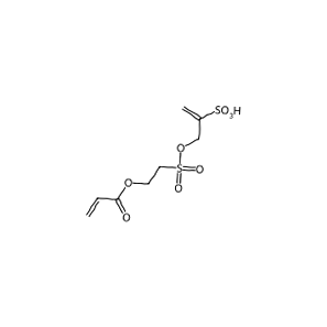 C=CC(=O)OCCS(=O)(=O)OCC(=C)S(=O)(=O)O